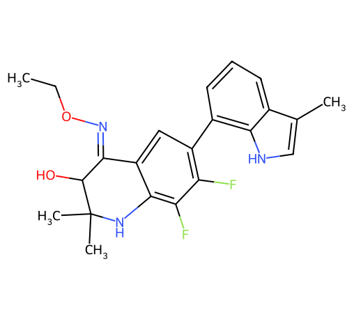 CCO/N=C1/c2cc(-c3cccc4c(C)c[nH]c34)c(F)c(F)c2NC(C)(C)C1O